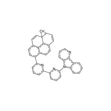 CC12C=Cc3ccc(-c4cccc(-c5cccc(-n6c7ccccc7c7ncccc76)n5)n4)c4ccc(c1c34)C=CC2